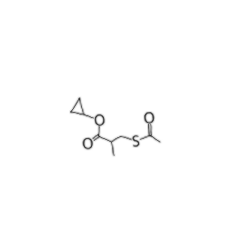 CC(=O)SCC(C)C(=O)OC1CC1